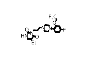 CCc1c[nH]c(=O)n(CCCN2CCN(c3ccc(F)cc3OCC(F)(F)F)CC2)c1=O